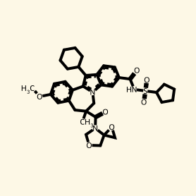 COc1ccc2c(c1)CC(C)(C(=O)N1COCC13CO3)Cn1c-2c(C2CCCCC2)c2ccc(C(=O)NS(=O)(=O)C3CCCC3)cc21